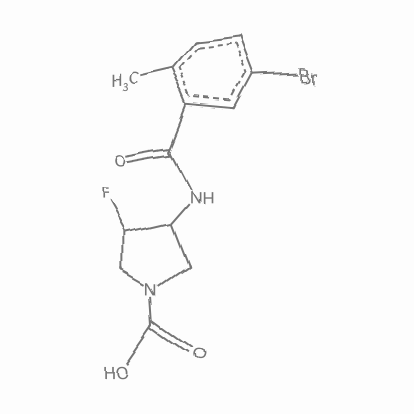 Cc1ccc(Br)cc1C(=O)NC1CN(C(=O)O)CC1F